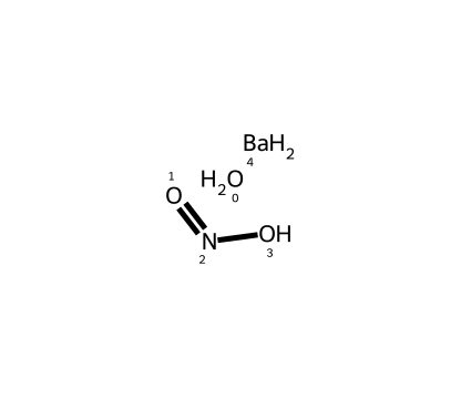 O.O=NO.[BaH2]